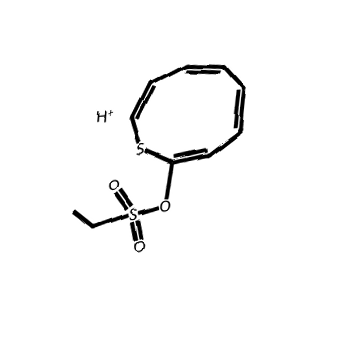 CCS(=O)(=O)Oc1cccccccs1.[H+]